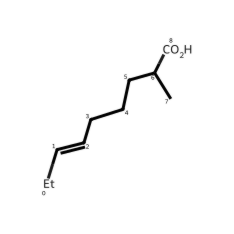 CCC=CCCCC(C)C(=O)O